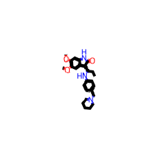 CCC(Nc1ccc(CN2CCCCC2)cc1)=C1C(=O)Nc2cc(OC)c(OC)cc21